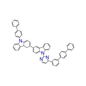 C1=C(c2ccc3c(c2)c2ccccc2n3-c2nccc(-c3cccc(-c4ccc(-c5ccccc5)cc4)c3)n2)CC2C(=C1)N(c1ccc(-c3ccccc3)cc1)c1ccccc12